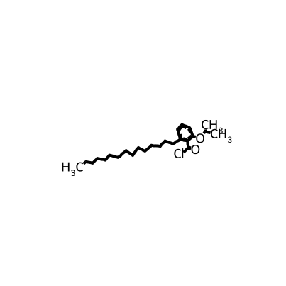 CCCCCCCCCCCCCCCc1cccc(OC(C)C)c1C(=O)Cl